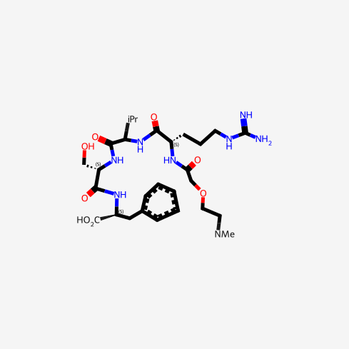 CNCCOCC(=O)N[C@@H](CCCNC(=N)N)C(=O)NC(C(=O)N[C@@H](CO)C(=O)N[C@@H](Cc1ccccc1)C(=O)O)C(C)C